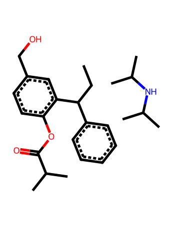 CC(C)NC(C)C.CCC(c1ccccc1)c1cc(CO)ccc1OC(=O)C(C)C